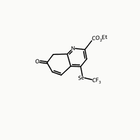 CCOC(=O)c1cc([Se]C(F)(F)F)c2c(n1)CC(=O)C=C2